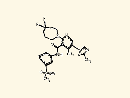 Cc1ncc(-c2cnc(N3CCCC(F)(F)CC3)c(C(=O)Nc3cccc(S(C)(=N)=O)c3)c2C)o1